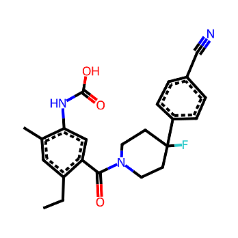 CCc1cc(C)c(NC(=O)O)cc1C(=O)N1CCC(F)(c2ccc(C#N)cc2)CC1